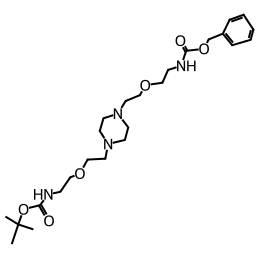 CC(C)(C)OC(=O)NCCOCCN1CCN(CCOCCNC(=O)OCc2ccccc2)CC1